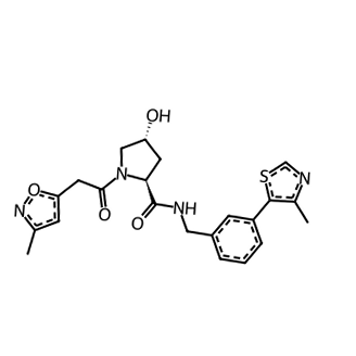 Cc1cc(CC(=O)N2C[C@H](O)C[C@H]2C(=O)NCc2cccc(-c3scnc3C)c2)on1